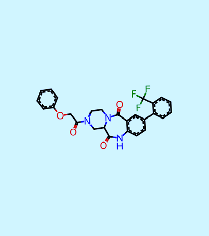 O=C1Nc2ccc(-c3ccccc3C(F)(F)F)cc2C(=O)N2CCN(C(=O)COc3ccccc3)CC12